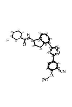 CC(C)Oc1ccc(-c2nc(-c3cccc4c3CC[C@H]4NC(=O)N3CCC[C@@H](C)C3)no2)cc1C#N